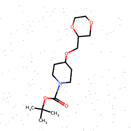 CC(C)(C)OC(=O)N1CCC(OCC2COCCO2)CC1